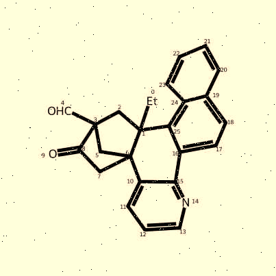 CCC12CC3(C=O)CC1(CC3=O)c1cccnc1-c1ccc3ccccc3c12